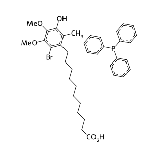 COc1c(O)c(C)c(CCCCCCCCCCC(=O)O)c(Br)c1OC.c1ccc(P(c2ccccc2)c2ccccc2)cc1